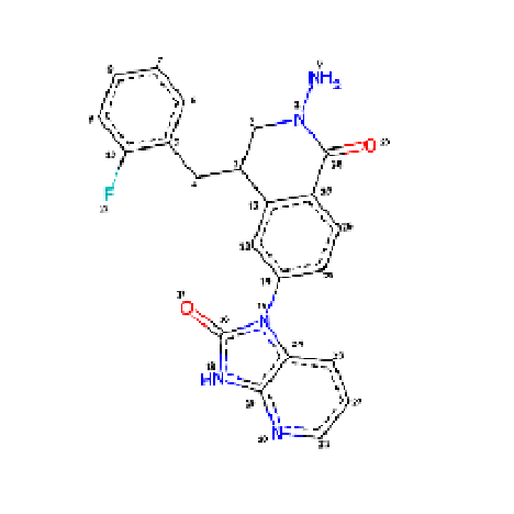 NN1CC(Cc2ccccc2F)c2cc(-n3c(=O)[nH]c4ncccc43)ccc2C1=O